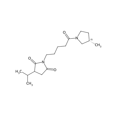 CC(C)C1CC(=O)N(CCCCC(=O)N2CC[C@H](C)C2)C1=O